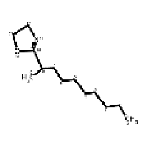 CCCCCCCCC(C)C1=NCCO1